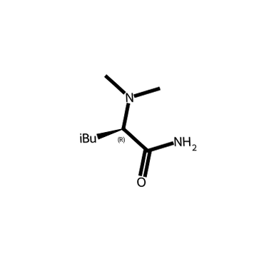 CCC(C)[C@H](C(N)=O)N(C)C